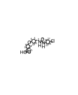 O=C(NCc1ccc(Oc2ccc3c(c2)COB3O)cc1)Nc1ccc(Cl)cc1